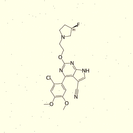 COc1cc(Cl)c(-c2nc(OCCN3CC[C@@H](F)C3)nc3[nH]cc(C#N)c23)cc1OC